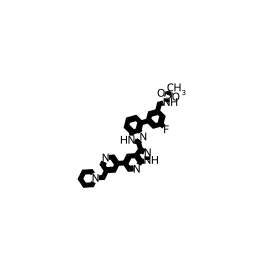 CS(=O)(=O)NCc1cc(F)cc(-c2cccc3[nH]c(-c4n[nH]c5ncc(-c6cncc(CN7CCCCC7)c6)cc45)nc23)c1